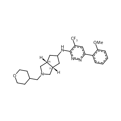 COc1ccccc1-c1cc(C(F)(F)F)c(NC2C[C@@H]3CN(CC4CCOCC4)C[C@@H]3C2)nn1